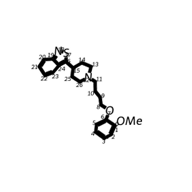 COc1c[c]ccc1OCCCCN1CCC(c2snc3ccccc23)CC1